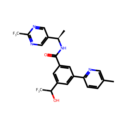 Cc1ccc(-c2cc(C(=O)N[C@H](C)c3cnc(C(F)(F)F)nc3)cc(C(O)C(F)(F)F)c2)nc1